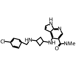 CNC(=O)c1cnc2[nH]ccc2c1NC1CC(NCc2ccc(Cl)cc2)C1